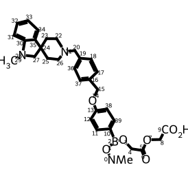 CNOB(OCC(=O)OCC(=O)O)c1ccc(OCc2ccc(CN3CCC4(CC3)CN(C)c3ccccc34)cc2)cc1